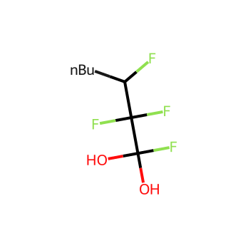 CCCCC(F)C(F)(F)C(O)(O)F